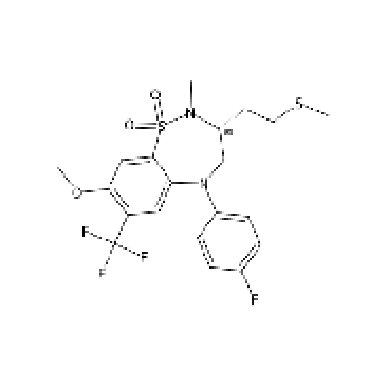 COc1cc2c(cc1C(F)(F)F)N(c1ccc(F)cc1)C[C@@H](CCSC)N(C)S2(=O)=O